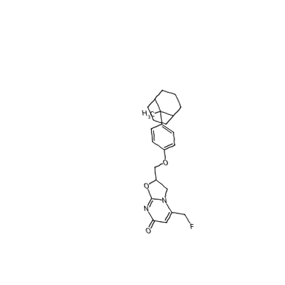 CC1(c2ccc(OCC3Cn4c(CF)cc(=O)nc4O3)cc2)C2CCCC1CCC2